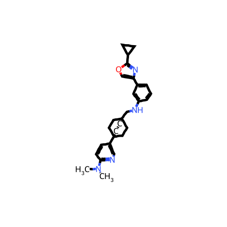 CN(C)c1ccc(C23CCC(CNc4cccc(-c5coc(C6CC6)n5)c4)(CC2)CC3)cn1